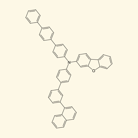 c1ccc(-c2ccc(-c3ccc(N(c4ccc(-c5cccc(-c6cccc7ccccc67)c5)cc4)c4ccc5c(c4)oc4ccccc45)cc3)cc2)cc1